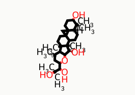 C[C@@H]1CC(C(O)C(C)(C)O)OC2C1C1(C)CCC34CC35CCC(O)C(C)(C)[C@@H]5CCC4C1(C)[C@H]2O